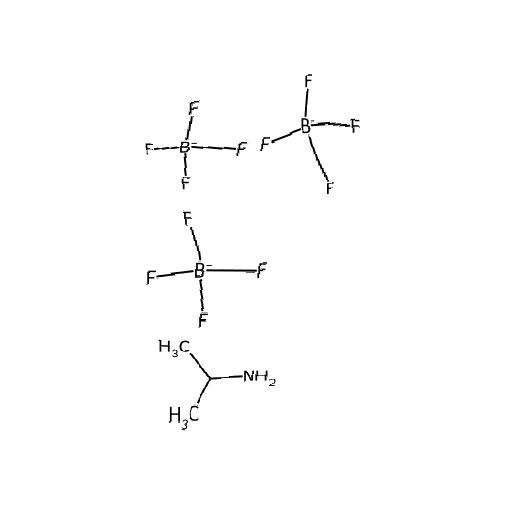 CC(C)N.F[B-](F)(F)F.F[B-](F)(F)F.F[B-](F)(F)F